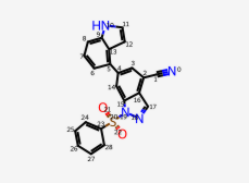 N#Cc1cc(-c2cccc3[nH]ccc23)cc2c1cnn2S(=O)(=O)c1ccccc1